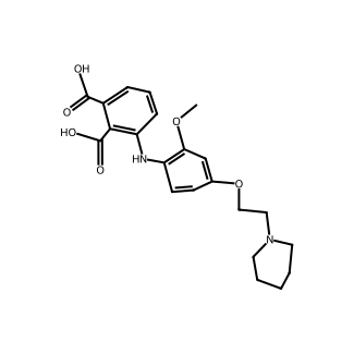 COc1cc(OCCN2CCCCC2)ccc1Nc1cccc(C(=O)O)c1C(=O)O